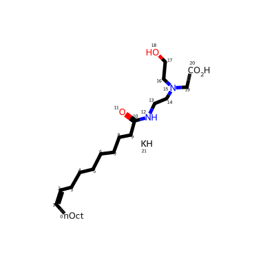 CCCCCCCC/C=C\CCCCCCCC(=O)NCCN(CCO)CC(=O)O.[KH]